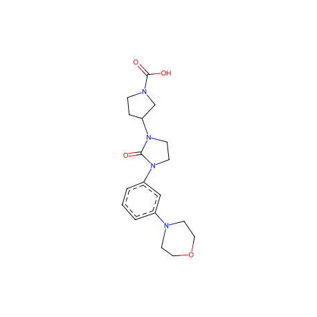 O=C(O)N1CCC(N2CCN(c3cccc(N4CCOCC4)c3)C2=O)C1